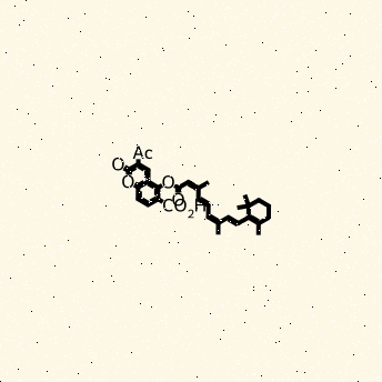 CC(=O)c1cc2c(OC(=O)C=C(C)C=CC=C(C)C=CC3=C(C)CCCC3(C)C)c(C(=O)O)ccc2oc1=O